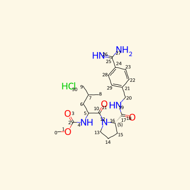 COC(=O)NC(CC(C)C)C(=O)N1CCC[C@H]1C(=O)NCc1ccc(C(=N)N)cc1.Cl